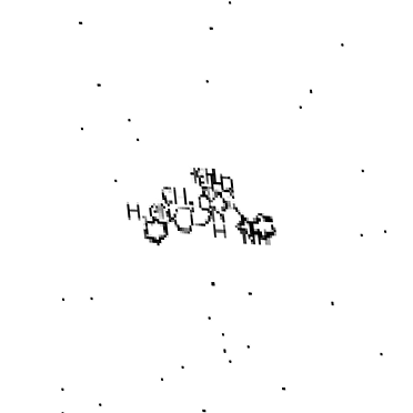 COC(=O)[C@H](Cc1c[nH]c2ccccc12)NC(=O)CC1CCC(c2ccccc2)(N(C)C)CC1.[KH]